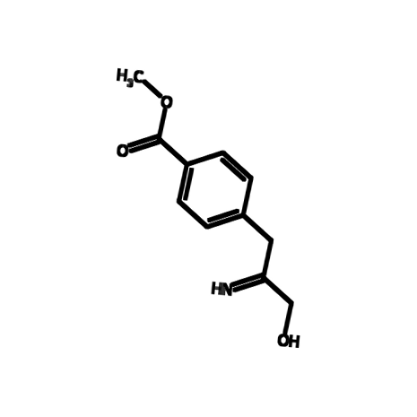 COC(=O)c1ccc(CC(=N)CO)cc1